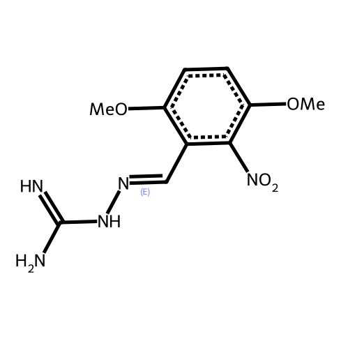 COc1ccc(OC)c([N+](=O)[O-])c1/C=N/NC(=N)N